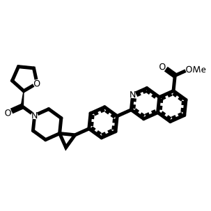 COC(=O)c1cccc2cc(-c3ccc(C4CC45CCN(C(=O)[C@H]4CCCO4)CC5)cc3)ncc12